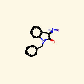 O=C1/C(=N\I)c2ccccc2N1Cc1ccccc1